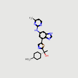 CC(O)(c1ncc(-c2cc(Nc3nccc(C(F)(F)F)n3)cc3[nH]cnc23)s1)[C@H]1CC[C@H](C(=O)O)CC1